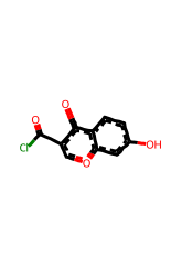 O=C(Cl)c1coc2cc(O)ccc2c1=O